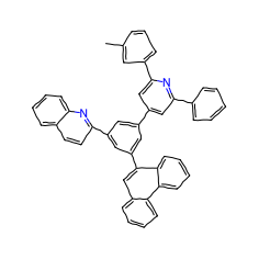 Cc1cccc(-c2cc(-c3cc(-c4ccc5ccccc5n4)cc(-c4cc5ccccc5c5ccccc45)c3)cc(-c3ccccc3)n2)c1